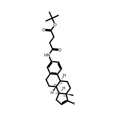 CC(C)(C)OC(=O)CCC(=O)Nc1ccc2c(c1)CC[C@@H]1[C@@H]2CC[C@]2(C)C(I)=CC[C@@H]12